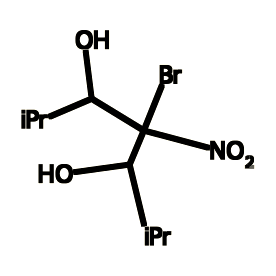 CC(C)C(O)C(Br)(C(O)C(C)C)[N+](=O)[O-]